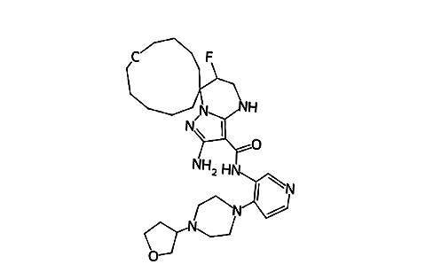 Nc1nn2c(c1C(=O)Nc1cnccc1N1CCN(C3CCOC3)CC1)NCC(F)C21CCCCCCCCCC1